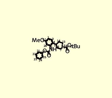 COc1ccc(C2CCN(C(=O)OC(C)(C)C)CC2)c(NC(=O)Oc2ccccc2)c1